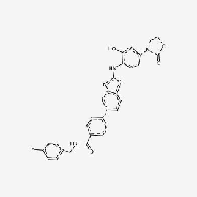 O=C(NCc1ccc(F)cc1)c1ccc(-c2ccc3nc(Nc4ccc(N5CCOC5=O)cc4O)nn3c2)cc1